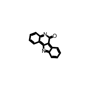 O=C1N=c2ccccc2=C2N=c3ccccc3=C12